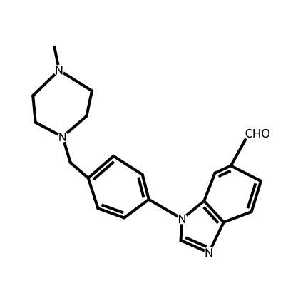 CN1CCN(Cc2ccc(-n3cnc4ccc(C=O)cc43)cc2)CC1